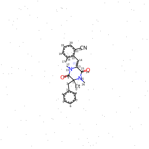 CCC1(Cc2ccccc2)C(=O)N(C)/C(=C\c2c(C)cccc2C#N)C(=O)N1C